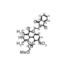 COCCOC1=C(C)NC(C)=C(C(=O)OCCN2C(=O)c3ccccc3C2=O)C1C1C=CC=C([N+](=O)[O-])C1=C=O